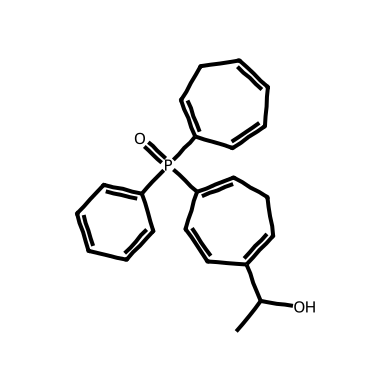 CC(O)C1=CCC=C(P(=O)(C2=CCC=CC=C2)c2ccccc2)C=C1